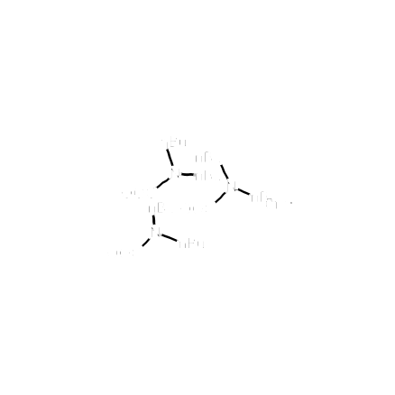 CCCCN(CCCC)C(=O)[O-].CCCCN(CCCC)C(=O)[O-].CCCCN(CCCC)C(=O)[O-].[Cr+3]